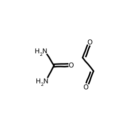 NC(N)=O.O=CC=O